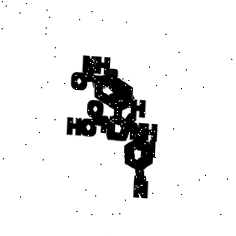 CC1(Nc2ccc(C#N)cn2)CCN(C(=O)O)C1C1C2CC3C[C@H]1C[C@@](C(N)=O)(C3)C2